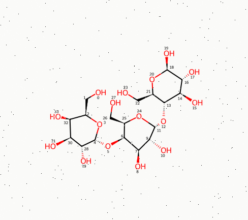 OC[C@H]1O[C@H](O[C@@H]2[C@H](O)[C@@H](O)[C@@H](O[C@H]3[C@H](O)[C@@H](O)[C@H](O)O[C@@H]3CO)O[C@@H]2CO)[C@H](O)[C@@H](O)[C@H]1O